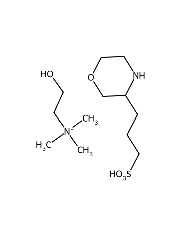 C[N+](C)(C)CCO.O=S(=O)(O)CCCC1COCCN1